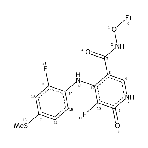 CCONC(=O)c1c[nH]c(=O)c(F)c1Nc1ccc(SC)cc1F